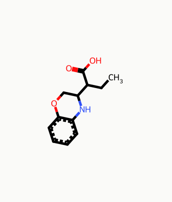 CCC(C(=O)O)C1COc2ccccc2N1